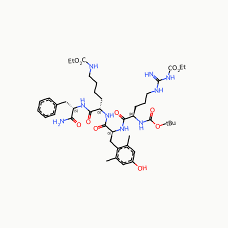 CCOC(=O)NCCCC[C@H](NC(=O)[C@H](Cc1c(C)cc(O)cc1C)NC(=O)[C@@H](CCCNC(=N)NC(=O)OCC)NC(=O)OC(C)(C)C)C(=O)N[C@@H](Cc1ccccc1)C(N)=O